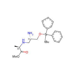 COC(=O)[C@@H](C)NC[C@H](N)CO[Si](c1ccccc1)(c1ccccc1)C(C)(C)C